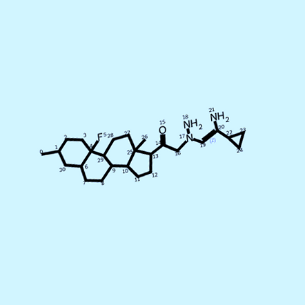 CC1CCC2(F)C(CCC3C4CCC(C(=O)CN(N)/C=C(\N)C5CC5)C4(C)CCC32)C1